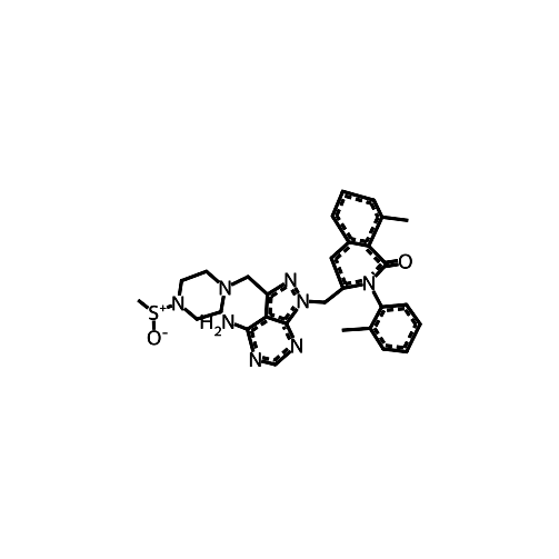 Cc1ccccc1-n1c(Cn2nc(CN3CCN([S+](C)[O-])CC3)c3c(N)ncnc32)cc2cccc(C)c2c1=O